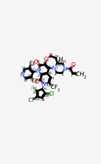 C=CC(=O)N1CCN2c3c(c(=O)n(-c4c(CC)cncc4CC)c4c(=O)n([C@H]5C(Cl)=CC(Cl)=C5F)c(C(F)(F)F)cc34)OCC[C@H]2C1